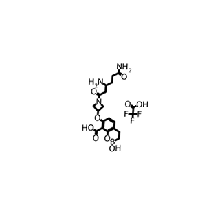 NC(=O)CCC(N)CC(=O)N1CC(Oc2ccc3c(c2C(=O)O)OB(O)CC3)C1.O=C(O)C(F)(F)F